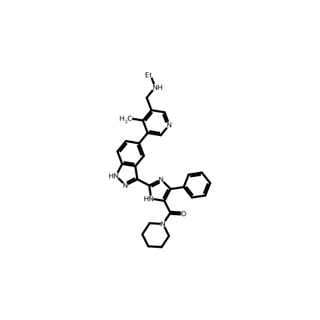 CCNCc1cncc(-c2ccc3[nH]nc(-c4nc(-c5ccccc5)c(C(=O)N5CCCCC5)[nH]4)c3c2)c1C